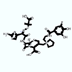 CC(C)(O/N=C(\C(=O)N[C@@H]1C(=O)N2C(C(=O)O)=C(C[N+]3(CCNC(=O)c4cc(O)c(O)c(F)c4)CCCC3)CS[C@H]12)c1csc(N)n1)C(=O)O